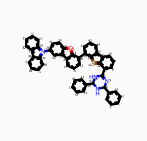 c1ccc(C2N=C(c3cccc4c3sc3c(-c5cccc6c5oc5ccc(-n7c8ccccc8c8ccccc87)cc56)cccc34)NC(c3ccccc3)N2)cc1